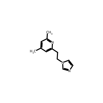 Cc1cc(C)nc(CCn2ccnc2)c1